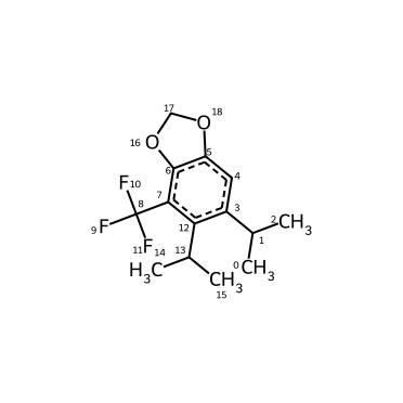 CC(C)c1cc2c(c(C(F)(F)F)c1C(C)C)OCO2